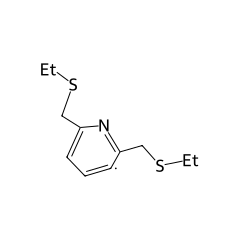 CCSCc1[c]ccc(CSCC)n1